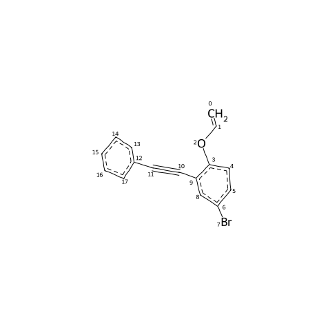 C=COc1ccc(Br)cc1C#Cc1ccccc1